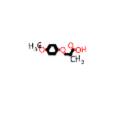 C=C(COc1ccc(OC)cc1)C(=O)O